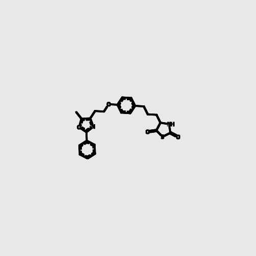 Cc1oc(-c2ccccc2)nc1CCOc1ccc(CCCC2NC(=O)SC2=O)cc1